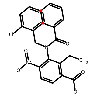 CCc1c(C(=O)O)ccc([N+](=O)[O-])c1N(Cc1ccccc1Cl)C(=O)c1ccccc1